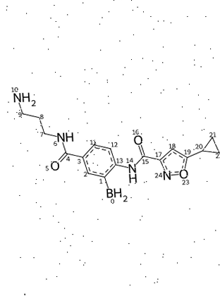 Bc1cc(C(=O)NCCCN)ccc1NC(=O)c1cc(C2CC2)on1